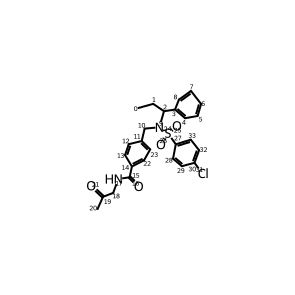 CCC(c1ccccc1)N(Cc1ccc(C(=O)NCC(C)=O)cc1)S(=O)(=O)c1ccc(Cl)cc1